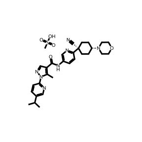 CS(=O)(=O)O.Cc1c(C(=O)Nc2ccc([C@]3(C#N)CC[C@@H](N4CCOCC4)CC3)nc2)cnn1-c1ccc(C(C)C)cn1